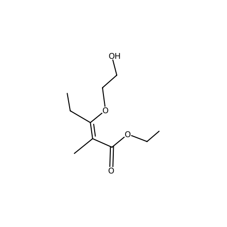 CCOC(=O)C(C)=C(CC)OCCO